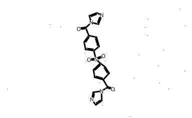 O=C(c1ccc(S(=O)(=O)c2ccc(C(=O)n3ccnc3)cc2)cc1)n1ccnc1